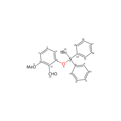 COc1cccc(O[Si](c2ccccc2)(c2ccccc2)C(C)(C)C)c1C=O